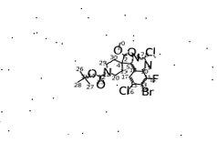 COC(=O)C1(c2nc(Cl)nc3c(F)c(Br)c(Cl)cc23)CCN(C(=O)OC(C)(C)C)CC1